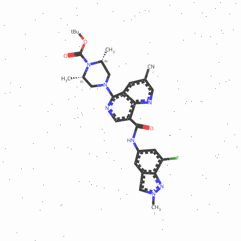 C[C@@H]1CN(c2ncc(C(=O)Nc3cc(F)c4nn(C)cc4c3)c3ncc(C#N)cc23)C[C@H](C)N1C(=O)OC(C)(C)C